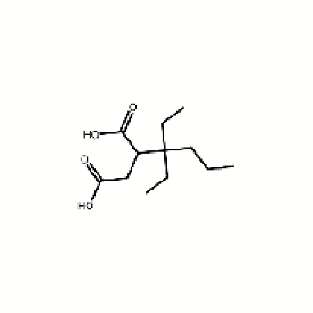 CCCC(CC)(CC)C(CC(=O)O)C(=O)O